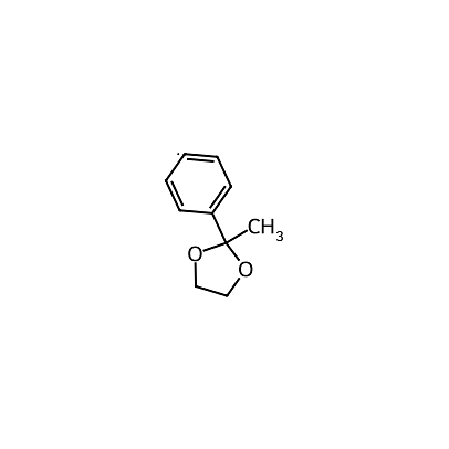 CC1(c2cc[c]cc2)OCCO1